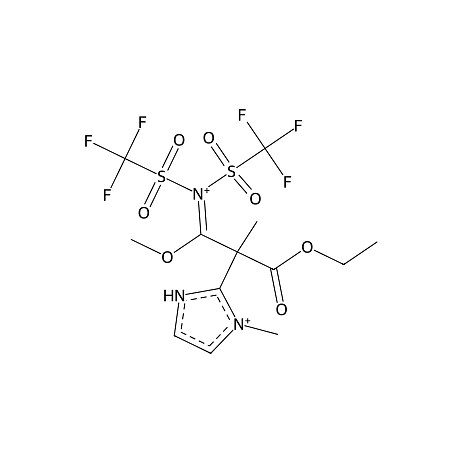 CCOC(=O)C(C)(C(OC)=[N+](S(=O)(=O)C(F)(F)F)S(=O)(=O)C(F)(F)F)c1[nH]cc[n+]1C